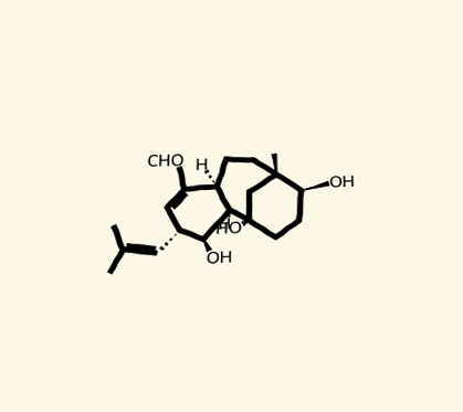 CC(C)=C[C@@H]1C=C(C=O)[C@H]2CC[C@@]3(C)C[C@](O)(CC[C@@H]3O)[C@@H]2[C@H]1O